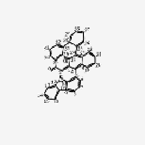 C=C/C=c1/c(-c2cccc3c2sc2ccccc23)c2ccccc2c(-c2ccccc2-c2ccccc2)c1=C